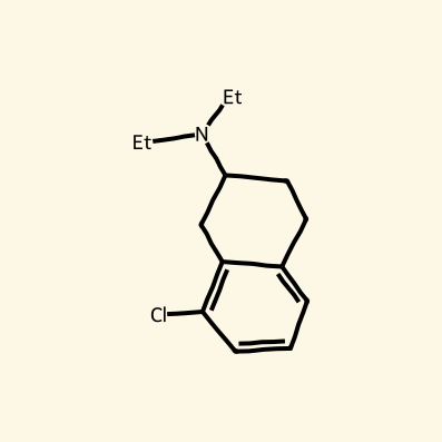 CCN(CC)C1CCc2cccc(Cl)c2C1